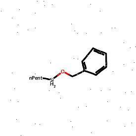 CCCCC[SiH2]OCc1ccccc1